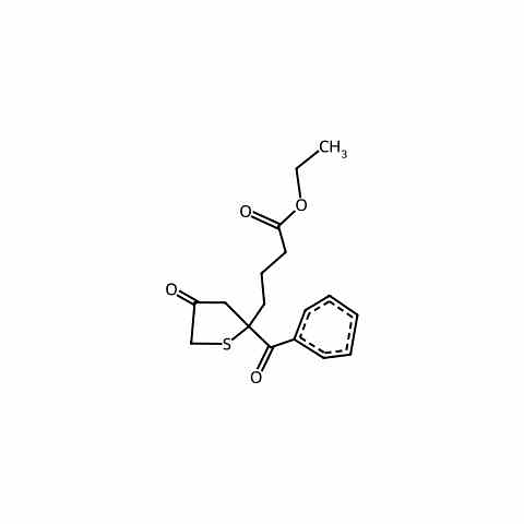 CCOC(=O)CCCC1(C(=O)c2ccccc2)CC(=O)CS1